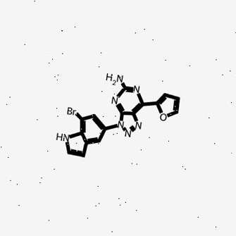 Nc1nc(-c2ccco2)c2nnn(-c3cc(Br)c4[nH]ccc4c3)c2n1